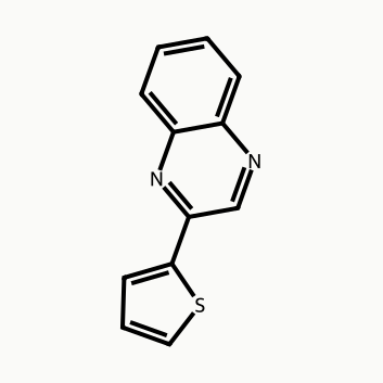 c1csc(-c2cnc3ccccc3n2)c1